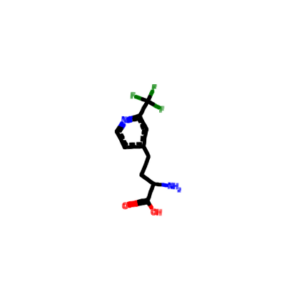 NC(CCc1ccnc(C(F)(F)F)c1)C(=O)O